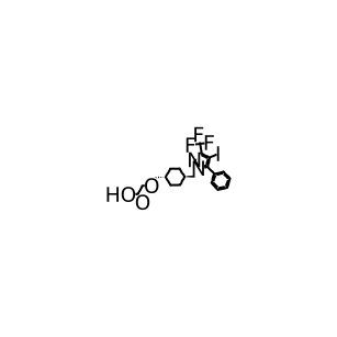 O=C(O)COC[C@H]1CC[C@H](Cn2nc(C(F)(F)F)c(I)c2-c2ccccc2)CC1